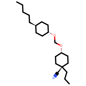 CCCCC[C@H]1CC[C@H](OCO[C@H]2CC[C@@](C#N)(CCC)CC2)CC1